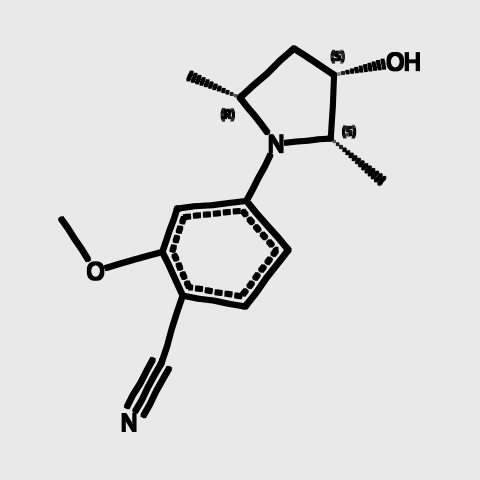 COc1cc(N2[C@H](C)C[C@H](O)[C@@H]2C)ccc1C#N